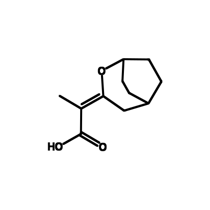 CC(C(=O)O)=C1CC2CCC(CC2)O1